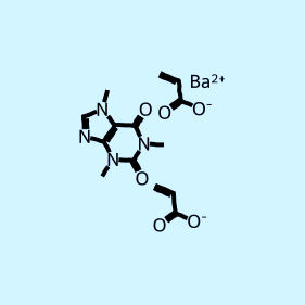 C=CC(=O)[O-].C=CC(=O)[O-].Cn1c(=O)c2c(ncn2C)n(C)c1=O.[Ba+2]